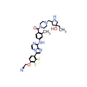 CC[C@@]1(O)CNC(CN2CCN(C(=O)c3ccc(Nc4nccn5c(-c6ccc(OCC#N)c(F)c6F)cnc45)cc3C)CC2)C1